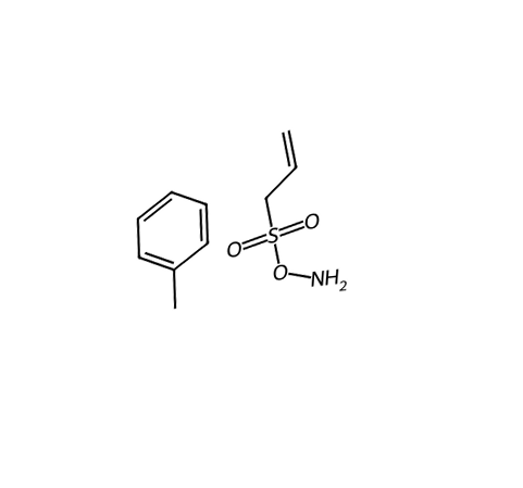 C=CCS(=O)(=O)ON.Cc1ccccc1